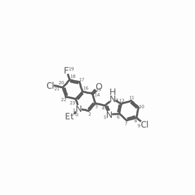 CCn1cc(-c2nc3cc(Cl)ccc3[nH]2)c(=O)c2cc(F)c(Cl)cc21